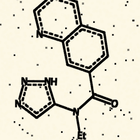 CCN(C(=O)c1ccc2cccnc2c1)c1cnn[nH]1